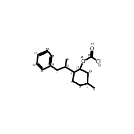 CC1CCC(C(C)Cc2ccccc2)C(OC(=O)Cl)C1